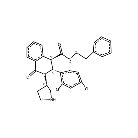 O=C(NOCc1ccccc1)[C@@H]1c2ccccc2C(=O)N([C@@H]2CCNC2)[C@H]1c1ccc(Cl)cc1Cl